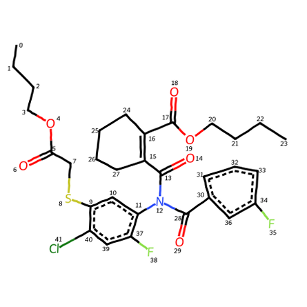 CCCCOC(=O)CSc1cc(N(C(=O)C2=C(C(=O)OCCCC)CCCC2)C(=O)c2cccc(F)c2)c(F)cc1Cl